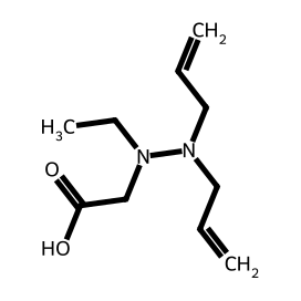 C=CCN(CC=C)N(CC)CC(=O)O